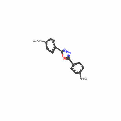 CC(=O)Nc1ccc(-c2nnc(-c3ccc(NC(C)=O)cc3)o2)cc1